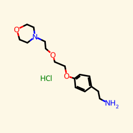 Cl.NCCc1ccc(OCCOCCN2CCOCC2)cc1